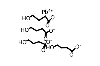 O=C([O-])CCCO.O=C([O-])CCCO.O=C([O-])CCCO.O=C([O-])CCCO.[Pb+4]